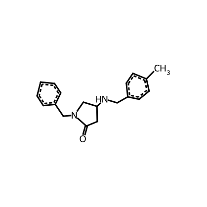 Cc1ccc(CNC2CC(=O)N(Cc3ccccc3)C2)cc1